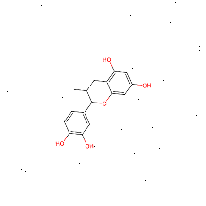 CC1Cc2c(O)cc(O)cc2OC1c1ccc(O)c(O)c1